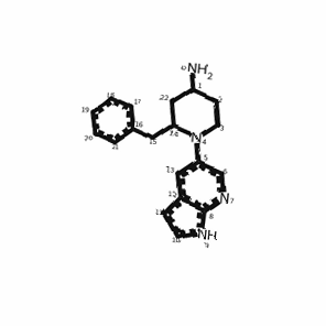 NC1CCN(c2cnc3[nH]ccc3c2)C(Cc2ccccc2)C1